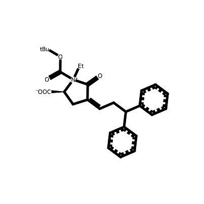 CC[N+]1(C(=O)OC(C)(C)C)C(=O)/C(=C\CC(c2ccccc2)c2ccccc2)C[C@H]1C(=O)[O-]